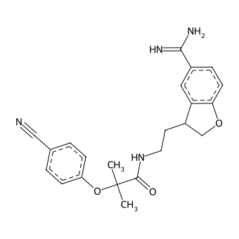 CC(C)(Oc1ccc(C#N)cc1)C(=O)NCCC1COc2ccc(C(=N)N)cc21